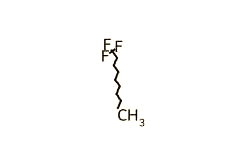 CCCCCCCCCC(F)(F)F